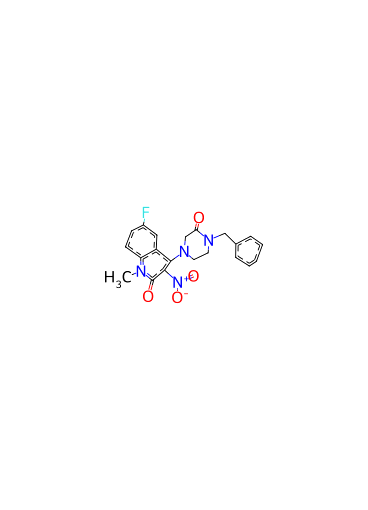 Cn1c(=O)c([N+](=O)[O-])c(N2CCN(Cc3ccccc3)C(=O)C2)c2cc(F)ccc21